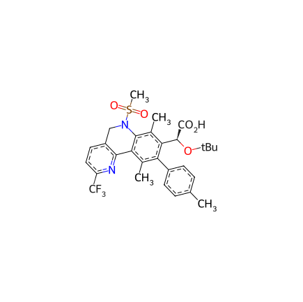 Cc1ccc(-c2c(C)c3c(c(C)c2[C@H](OC(C)(C)C)C(=O)O)N(S(C)(=O)=O)Cc2ccc(C(F)(F)F)nc2-3)cc1